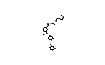 CC(NC(Cc1ccccn1)=S(=O)=O)c1nc(-c2ccc3ncnc(Nc4ccc(OCc5cccc(F)c5)c(Cl)c4)c3c2)cs1